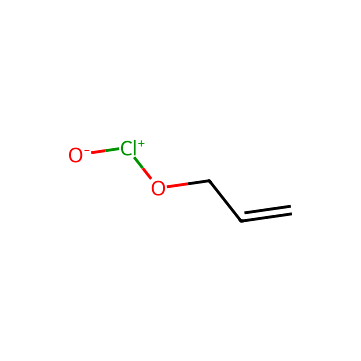 C=CCO[Cl+][O-]